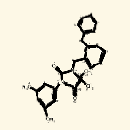 Cc1cc(C)cc(N2C(=O)N(Cc3ccccc3Cc3ccccc3)C(C)(C)C2=O)c1